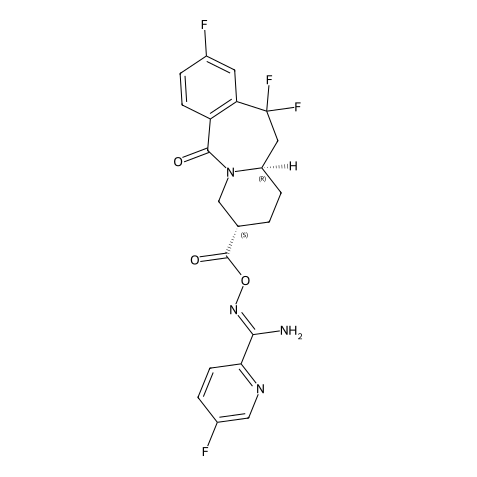 NC(=NOC(=O)[C@H]1CC[C@@H]2CC(F)(F)c3cc(F)ccc3C(=O)N2C1)c1ccc(F)cn1